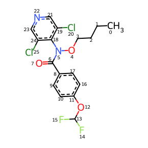 CCCCON(C(=O)c1ccc(OC(F)F)cc1)c1c(Cl)cncc1Cl